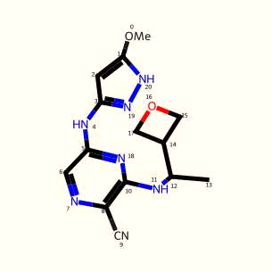 COc1cc(Nc2cnc(C#N)c(NC(C)C3COC3)n2)n[nH]1